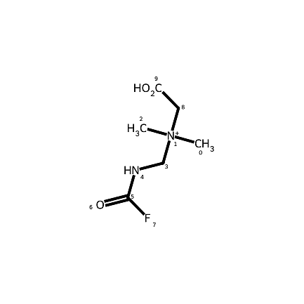 C[N+](C)(CNC(=O)F)CC(=O)O